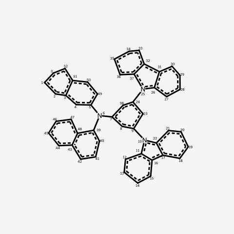 c1ccc2cc(N(c3cc(-n4c5ccccc5c5ccccc54)cc(-n4c5ccccc5c5ccccc54)c3)c3cccc4ccccc34)ccc2c1